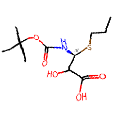 CCCS[C@H](NC(=O)OC(C)(C)C)C(O)C(=O)O